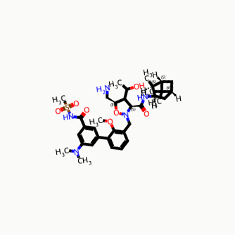 COc1c(CN2O[C@@H](CN)C(C(C)O)[C@H]2C(=O)N[C@H]2C[C@H]3C[C@@H]([C@@H]2C)C3(C)C)cccc1-c1cc(C(=O)NS(C)(=O)=O)cc(N(C)C)c1